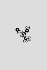 CNC(=O)[C@H]1O[C@@H](n2cnc3c(NCc4ccccc4)nc(-c4cccc(O)c4)nc32)C[C@@H]1O